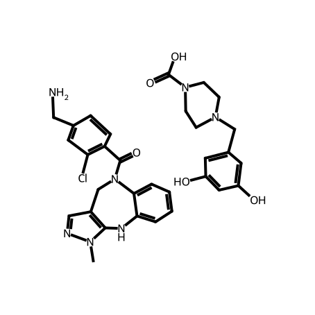 Cn1ncc2c1Nc1ccccc1N(C(=O)c1ccc(CN)cc1Cl)C2.O=C(O)N1CCN(Cc2cc(O)cc(O)c2)CC1